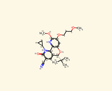 COCCCOc1cc2c(nc1OC)-c1c(cc(C#N)c(=O)n1C1CC1)[C@@H](C(C)(C)C)O2